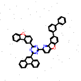 c1ccc(-c2cccc(-c3ccc4oc5ccc(-c6nc(-c7ccc8oc9ccccc9c8c7)nc(-c7cc8ccccc8c8ccccc78)n6)nc5c4c3)c2)cc1